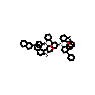 c1ccc(-c2ccc(N(c3cccc(-c4ccccc4N(c4ccc(-c5ccc6ccccc6c5)cc4)c4cccc5sc6ccc7ccccc7c6c45)c3)c3cccc4sc5ccccc5c34)c3ccccc23)cc1